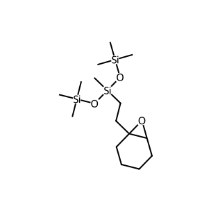 C[Si](C)(C)O[Si](C)(CCC12CCCCC1O2)O[Si](C)(C)C